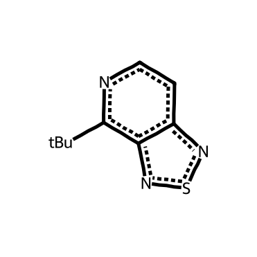 CC(C)(C)c1nccc2nsnc12